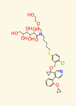 O=C(C(O)C(O)C(O)C(O)CO)N(CCCCCSc1ccc(Cl)c(COC2(c3cnccc3-c3ccccc3OC3CC3)CC2)c1)CCOCCO